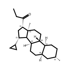 CCC(=O)[C@H]1C[C@@H](C2CC2)C2[C@@H]3CC[C@@H]4C[C@@H](C)CC[C@@H]4[C@H]3CC[C@@]21C